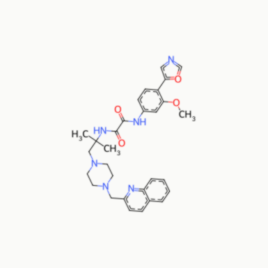 COc1cc(NC(=O)C(=O)NC(C)(C)CN2CCN(Cc3ccc4ccccc4n3)CC2)ccc1-c1cnco1